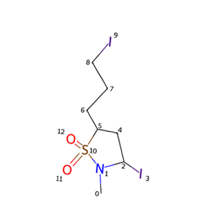 CN1C(I)CC(CCCI)S1(=O)=O